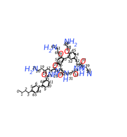 CCCCc1ccc(-c2cccc(C(=O)N[C@@H](CCCCN)C(=O)N(C)[C@@H]3C(=O)N[C@@H](C)C(=O)N[C@H](C(=O)NCC#N)Cc4ccc(OCCN)c(c4)-c4cc3ccc4OCCN)c2)cc1